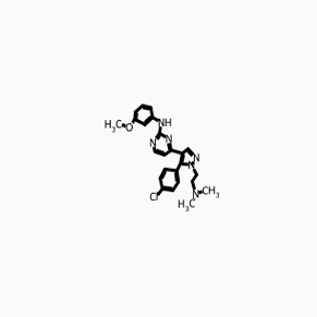 COc1cccc(Nc2nccc(-c3cnn(CCN(C)C)c3-c3ccc(Cl)cc3)n2)c1